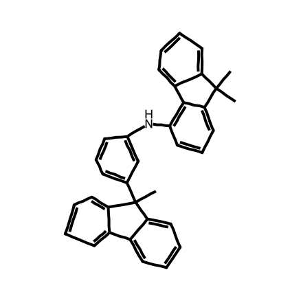 CC1(C)c2ccccc2-c2c(Nc3cccc(C4(C)c5ccccc5-c5ccccc54)c3)cccc21